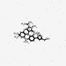 COc1ccc(-c2cc(CO)nn2C)c(C)c1[C@H]1C2=C(CC(C)(C)CC2=O)OC2=C1C(=O)N(C)[C@@H]2C(C)C